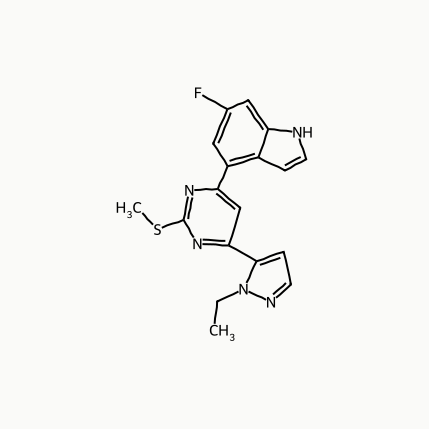 CCn1nccc1-c1cc(-c2cc(F)cc3[nH]ccc23)nc(SC)n1